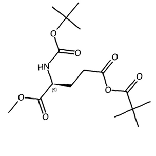 COC(=O)[C@H](CCC(=O)OC(=O)C(C)(C)C)NC(=O)OC(C)(C)C